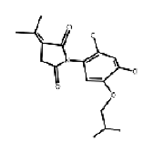 CC(C)=C1CC(=O)N(c2cc(OCC(C)C)c(Cl)cc2Cl)C1=O